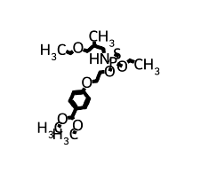 CCOCC(C)CNP(=S)(OCC)OCCOc1ccc(C(OC)OC)cc1